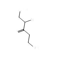 CCCCCCCCCC(=O)C(N)CS(=O)(=O)O